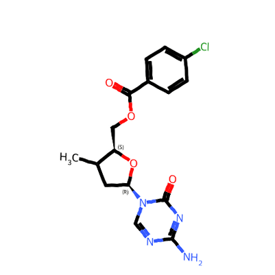 CC1C[C@H](n2cnc(N)nc2=O)O[C@@H]1COC(=O)c1ccc(Cl)cc1